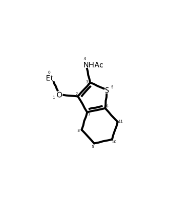 CCOc1c(NC(C)=O)sc2c1CCCC2